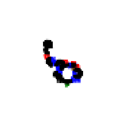 CC1(C)C[C@H]2C[C@@H](F)CNc3cccc(n3)S(=O)(=O)NC(=O)c3ccc(-n4ccc(OCCC5CCCC5)n4)nc3N1C2